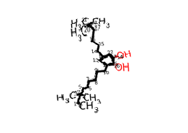 CCC(C)(C)CCCCCCc1cc(CCCCC(C)(C)C)cc(O)c1O